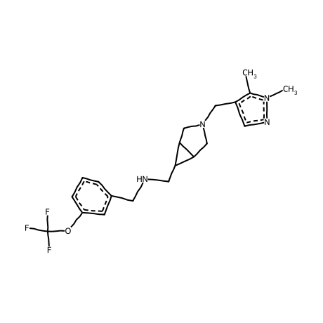 Cc1c(CN2CC3C(CNCc4cccc(OC(F)(F)F)c4)C3C2)cnn1C